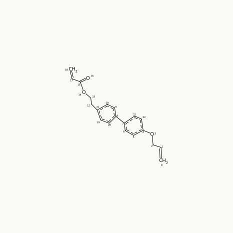 C=CCOc1ccc(-c2ccc(CCOC(=O)C=C)cc2)cc1